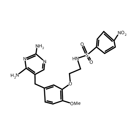 COc1ccc(Cc2cnc(N)nc2N)cc1OCCNS(=O)(=O)c1ccc([N+](=O)[O-])cc1